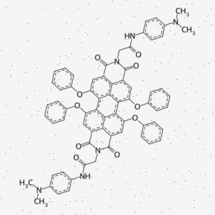 CN(C)c1ccc(NC(=O)CN2C(=O)c3cc(Oc4ccccc4)c4c5c(Oc6ccccc6)cc6c7c(cc(Oc8ccccc8)c(c8c(Oc9ccccc9)cc(c3c48)C2=O)c75)C(=O)N(CC(=O)Nc2ccc(N(C)C)cc2)C6=O)cc1